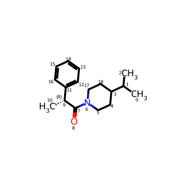 CC(C)C1CCN(C(=O)[C@H](C)c2ccccc2)CC1